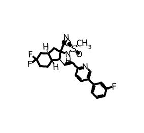 CS(=O)(=O)NC1(C#N)C[C@@H]2CC(F)(F)CC[C@H]2[C@@H]1/C=C/c1ccc(-c2cccc(F)c2)cn1